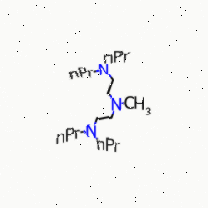 CCCN(CCC)CCN(C)CCN(CCC)CCC